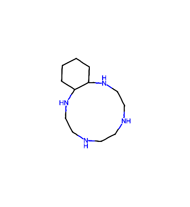 C1CCC2NCCNCCNCCNC2C1